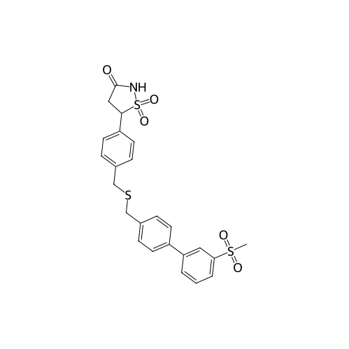 CS(=O)(=O)c1cccc(-c2ccc(CSCc3ccc(C4CC(=O)NS4(=O)=O)cc3)cc2)c1